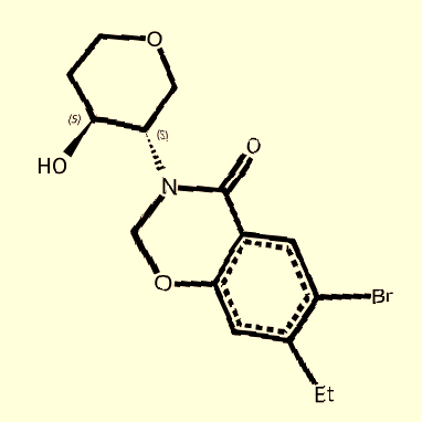 CCc1cc2c(cc1Br)C(=O)N([C@H]1COCC[C@@H]1O)CO2